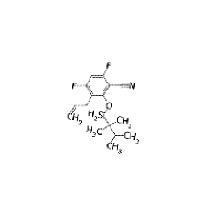 C=CCc1c(F)cc(F)c(C#N)c1O[SiH2]C(C)(C)C(C)C